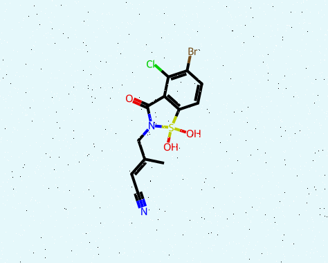 C/C(=C\C#N)CN1C(=O)c2c(ccc(Br)c2Cl)S1(O)O